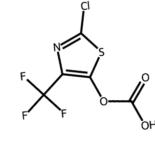 O=C(O)Oc1sc(Cl)nc1C(F)(F)F